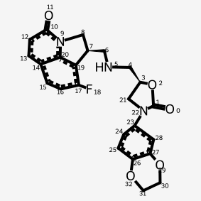 O=C1O[C@H](CNC[C@@H]2Cn3c(=O)ccc4ccc(F)c2c43)CN1c1ccc2c(c1)OCCO2